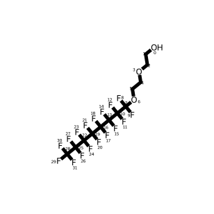 OCCOCCOC(F)(F)C(F)(F)C(F)(F)C(F)(F)C(F)(F)C(F)(F)C(F)(F)C(F)(F)F